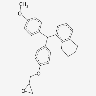 COc1ccc(C(c2ccc(OCC3CO3)cc2)c2cccc3c2CCCC3)cc1